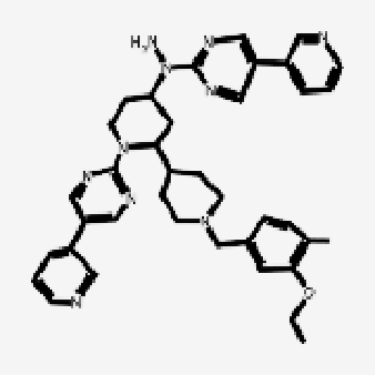 CCOc1cc(CN2CCC(C3CC(N(N)c4ncc(-c5cccnc5)cn4)CCN3c3ncc(-c4cccnc4)cn3)CC2)ccc1C